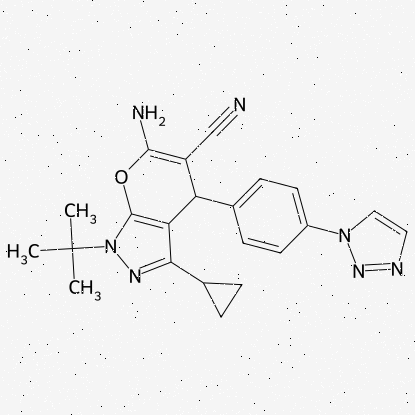 CC(C)(C)n1nc(C2CC2)c2c1OC(N)=C(C#N)C2c1ccc(-n2ccnn2)cc1